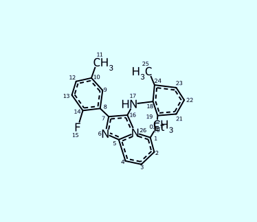 CCc1cccc2nc(-c3cc(C)ccc3F)c(Nc3c(C)cccc3C)n12